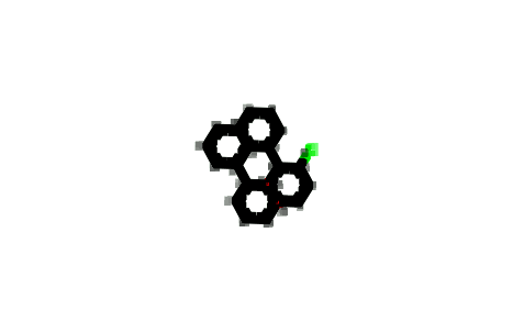 Clc1ccccc1-c1cccc2cccc(-c3ccccc3)c12